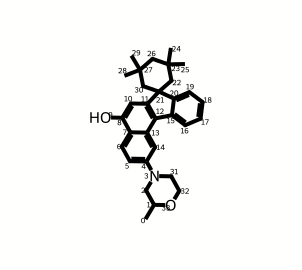 CC1CN(c2ccc3c(O)cc4c(c3c2)-c2ccccc2C42CC(C)(C)CC(C)(C)C2)CCO1